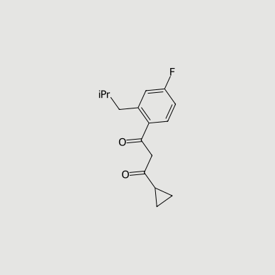 CC(C)Cc1cc(F)ccc1C(=O)CC(=O)C1CC1